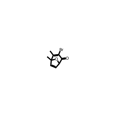 CC1=C(Br)C(=O)C2C=CC1(C)O2